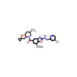 COc1cc(C(=O)N2CC(C)CCC2CC2(O)CC2)cc2nc(NCc3cc(Cl)ccn3)oc12